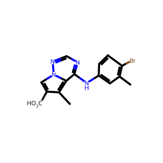 Cc1cc(Nc2ncnn3cc(C(=O)O)c(C)c23)ccc1Br